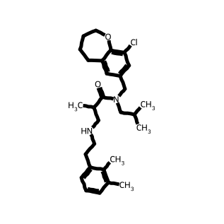 Cc1cccc(CCNCC(C)C(=O)N(Cc2cc(Cl)c3c(c2)CCCCO3)CC(C)C)c1C